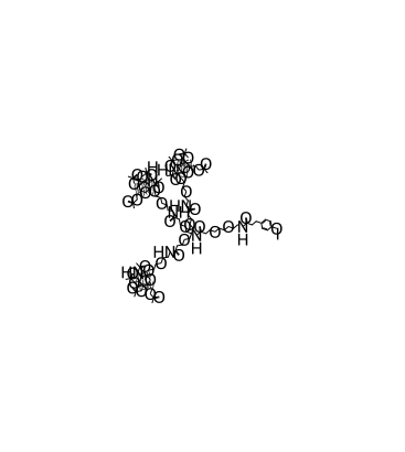 CC(=O)N[C@@H]1[C@H](OCCOCCNC(=O)CCOCC(COCCC(=O)NCCOCCO[C@H]2O[C@H](COC(C)=O)[C@@H](OC(C)=O)[C@@H](OC(C)=O)[C@@H]2NC(C)=O)(COCCC(=O)NCCOCCO[C@@H]2O[C@H](COC(C)=O)[C@H](OC(C)=O)[C@H](OC(C)=O)[C@H]2NC(C)=O)NC(=O)CCOCCOCCNC(=O)CCc2ccc(OI)cc2)O[C@H](COC(C)=O)[C@@H](OC(C)=O)[C@H]1OC(C)=O